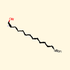 CCCCCCCCCCCCCCCCCCCC/C=C\O